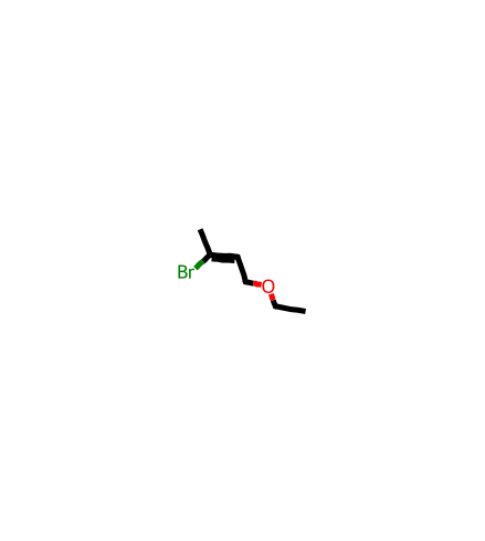 CCOCC=C(C)Br